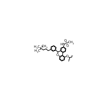 C[Si](C)(C)CCCc1cccc(C2Oc3cccc(OC(F)F)c3-c3ccc(NS(C)(=O)=O)cc32)c1